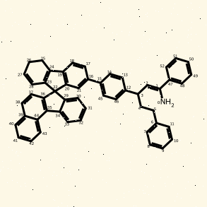 N/C(=C\C(CCc1ccccc1)c1ccc(-c2ccc3c(c2)C2(C4=C3CCC=C4)c3ccccc3-c3c2ccc2ccccc32)cc1)c1ccccc1